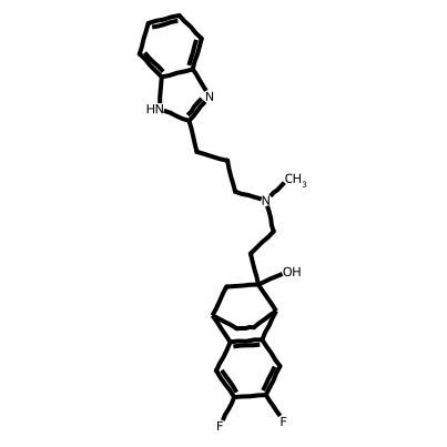 CN(CCCc1nc2ccccc2[nH]1)CCC1(O)CC2CCC1c1cc(F)c(F)cc12